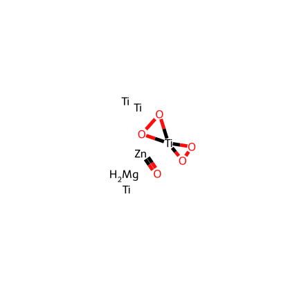 [MgH2].[O]1[O][Ti]12[O][O]2.[O]=[Zn].[Ti].[Ti].[Ti]